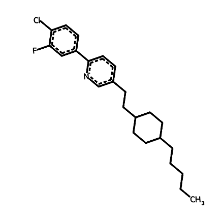 CCCCCC1CCC(CCc2ccc(-c3ccc(Cl)c(F)c3)nc2)CC1